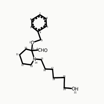 O=CC1(OCc2ccccc2)CCCCN1CCCCCCO